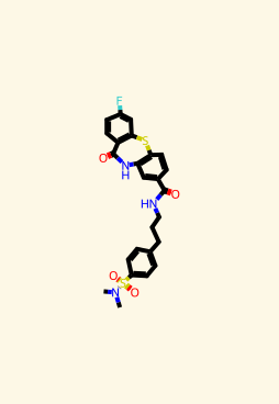 CN(C)S(=O)(=O)c1ccc(CCCNC(=O)c2ccc3c(c2)NC(=O)c2ccc(F)cc2S3)cc1